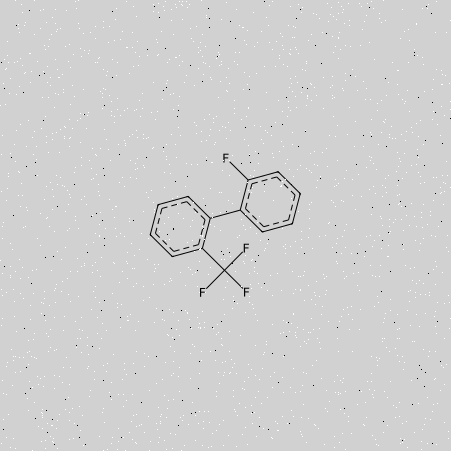 Fc1ccccc1-c1ccccc1C(F)(F)F